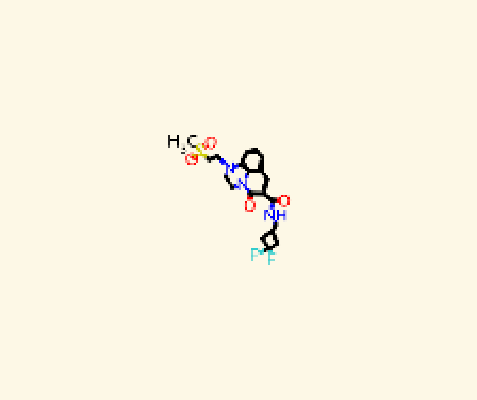 CS(=O)(=O)CCN1CCn2c(=O)c(C(=O)NCC3CC(F)(F)C3)cc3cccc1c32